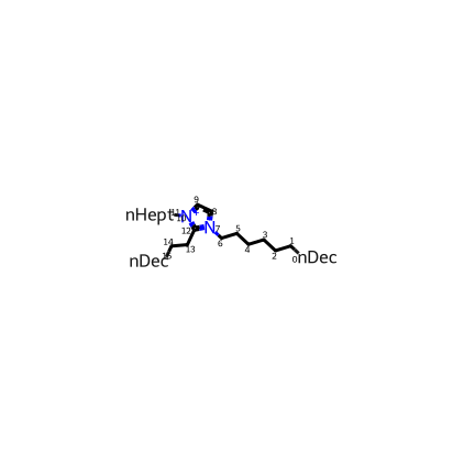 CCCCCCCCCCCCCCCCn1cc[n+](CCCCCCC)c1CCCCCCCCCCCC